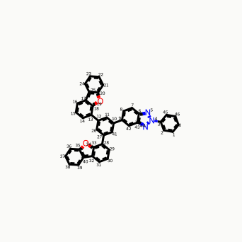 c1ccc(-n2nc3ccc(-c4cc(-c5cccc6c5oc5ccccc56)cc(-c5cccc6c5oc5ccccc56)c4)cc3n2)cc1